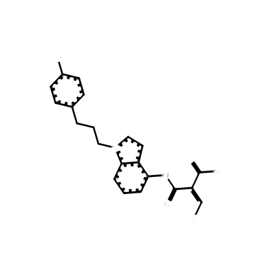 N=C(Nc1cccc2c1ccn2CCCc1ccc(O)cc1)/C(=C\[SiH3])C(N)=O